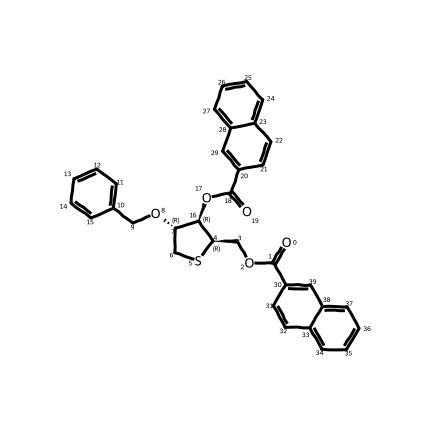 O=C(OC[C@H]1SC[C@H](OCc2ccccc2)[C@H]1OC(=O)c1ccc2ccccc2c1)c1ccc2ccccc2c1